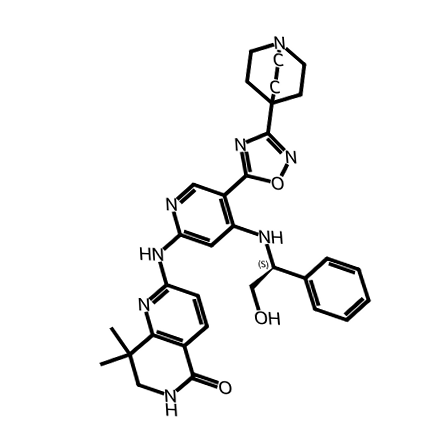 CC1(C)CNC(=O)c2ccc(Nc3cc(N[C@H](CO)c4ccccc4)c(-c4nc(C56CCN(CC5)CC6)no4)cn3)nc21